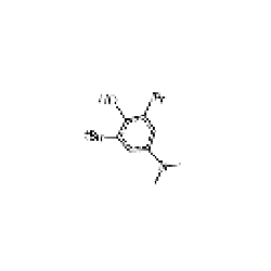 CC(C)c1cc(N(C)C)cc(C(C)(C)C)c1O